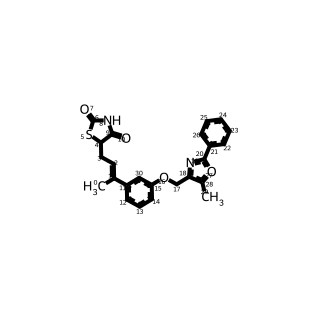 C/C(=C\CC1SC(=O)NC1=O)c1cccc(OCc2nc(-c3ccccc3)oc2C)c1